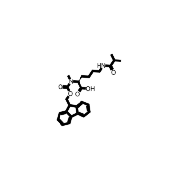 CC(C)C(=O)NCCCC[C@@H](C(=O)O)N(C)C(=O)OCC1c2ccccc2-c2ccccc21